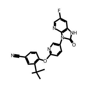 CC(C)(C)c1cc(C#N)ccc1Oc1ccc(-n2c(=O)[nH]c3cc(F)cnc32)cn1